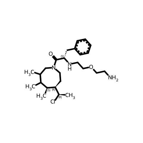 CC1CN(C(=O)[C@H](Cc2ccccc2)NCCOCCN)CC[C@@H]([C@@H](C)Cl)[C@@H](C)C1C